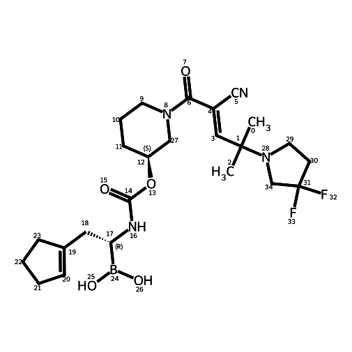 CC(C)(C=C(C#N)C(=O)N1CCC[C@H](OC(=O)N[C@@H](CC2=CCCC2)B(O)O)C1)N1CCC(F)(F)C1